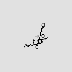 CCSc1ccc(C(=O)NCCCSC)cc1NC(=O)CCCCCl